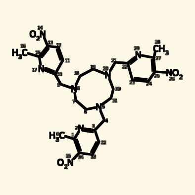 Cc1nc(CN2CCN(Cc3ccc([N+](=O)[O-])c(C)n3)CCN(Cc3ccc([N+](=O)[O-])c(C)n3)CC2)ccc1[N+](=O)[O-]